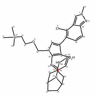 Cn1cc2c(Cl)c(-c3cn(COCC[Si](C)(C)C)c4nc(N5C6CCC5CC(NC(=O)O)C6)cnc34)ccc2n1